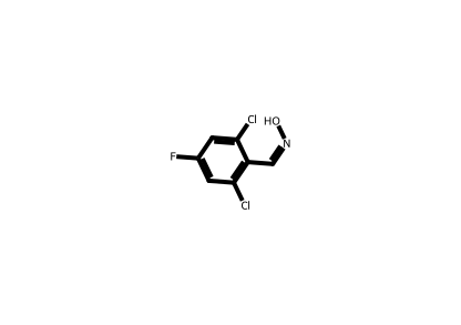 O/N=C\c1c(Cl)cc(F)cc1Cl